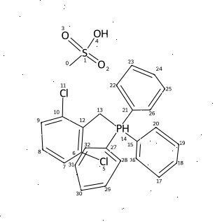 CS(=O)(=O)O.Clc1cccc(Cl)c1C[PH](c1ccccc1)(c1ccccc1)c1ccccc1